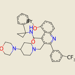 CC(C)Oc1cccc2nc(-c3cccc(C(F)(F)F)c3)c(CN3CCC(N4CCOCC4)CC3)c(C(=O)NC3(c4ccccc4)CC3)c12